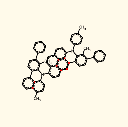 Cc1ccc(N(c2c(-c3ccccc3)ccc(-c3ccccc3)c2C)c2ccc3ccc4c(N(c5ccc(C)cc5)c5c(-c6ccccc6)ccc(-c6ccccc6)c5C)ccc5ccc2c3c54)cc1